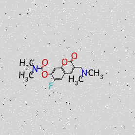 CN(C)Cc1cc2cc(F)c(OC(=O)N(C)C)cc2oc1=O